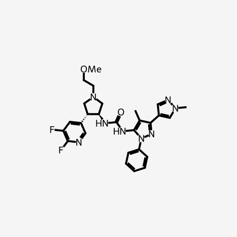 COCCN1C[C@@H](NC(=O)Nc2c(C)c(-c3cnn(C)c3)nn2-c2ccccc2)[C@H](c2cnc(F)c(F)c2)C1